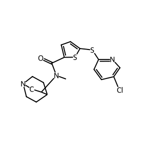 CN(C(=O)c1ccc(Sc2ccc(Cl)cn2)s1)C1CN2CCC1CC2